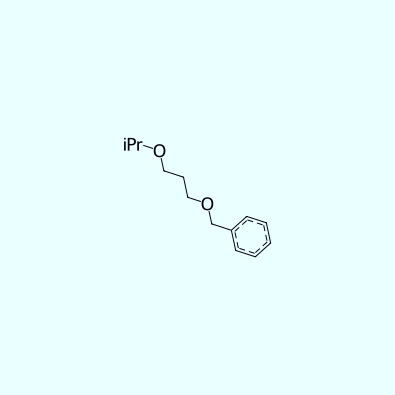 CC(C)OCCCOCc1ccccc1